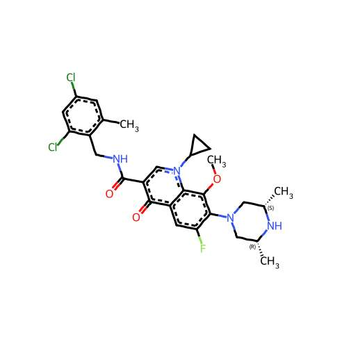 COc1c(N2C[C@@H](C)N[C@@H](C)C2)c(F)cc2c(=O)c(C(=O)NCc3c(C)cc(Cl)cc3Cl)cn(C3CC3)c12